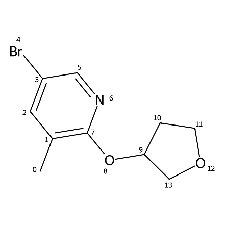 Cc1cc(Br)cnc1OC1CCOC1